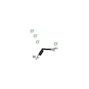 C=[CH][Hf+4].[Cl-].[Cl-].[Cl-].[Cl-]